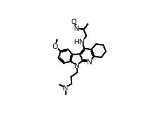 COc1ccc2c(c1)c1c(NCC(C)N=O)c3c(nc1n2CCCN(C)C)CCCC3